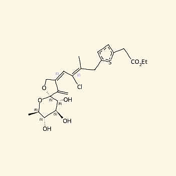 C=C1/C(=C\C(Cl)=C(/C)Cc2ccc(CC(=O)OCC)s2)CO[C@]12O[C@H](C)[C@@H](O)[C@H](O)[C@H]2O